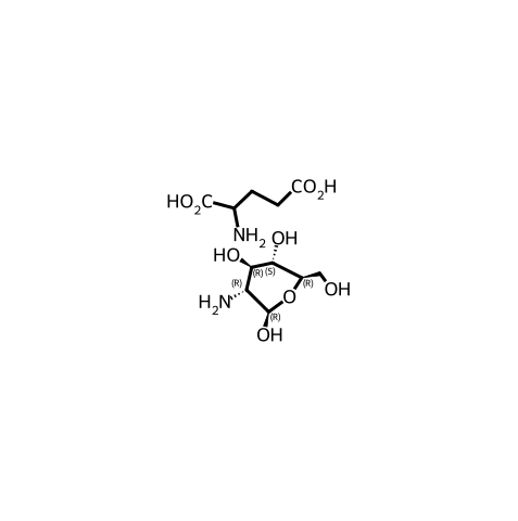 NC(CCC(=O)O)C(=O)O.N[C@@H]1[C@@H](O)[C@H](O)[C@@H](CO)O[C@H]1O